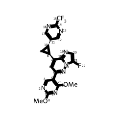 COc1ncc(-c2cc([C@H]3C[C@@H]3c3cnc(C(F)(F)F)nc3)c3ncc(F)n3n2)c(OC)n1